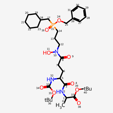 CC(NC(=O)C(CCC(=O)N(O)CCCP(=O)(CC1CCCCC1)OCc1ccccc1)NC(=O)OC(C)(C)C)C(=O)OC(C)(C)C